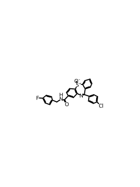 O=C(NCc1ccc(F)cc1)c1ccc2c(c1)N=C(c1ccc(Cl)cc1)c1ccccc1[S+]2[O-]